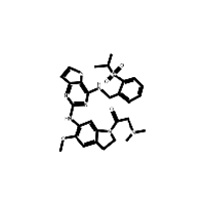 COc1cc2c(cc1Nc1nc(NCc3ccccc3S(=O)(=O)C(C)C)c3sccc3n1)N(C(=O)CN(C)C)CC2